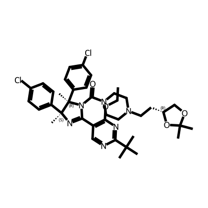 CCOc1nc(C(C)(C)C)ncc1C1=N[C@@](C)(c2ccc(Cl)cc2)[C@@](C)(c2ccc(Cl)cc2)N1C(=O)N1CCN(CC[C@@H]2COC(C)(C)O2)CC1